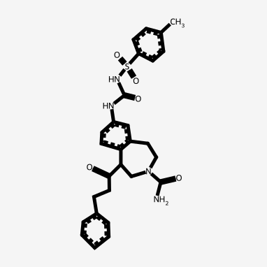 Cc1ccc(S(=O)(=O)NC(=O)Nc2ccc3c(c2)CCN(C(N)=O)CC3C(=O)CCc2ccccc2)cc1